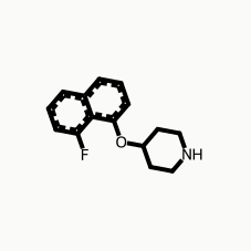 Fc1cccc2cccc(OC3CCNCC3)c12